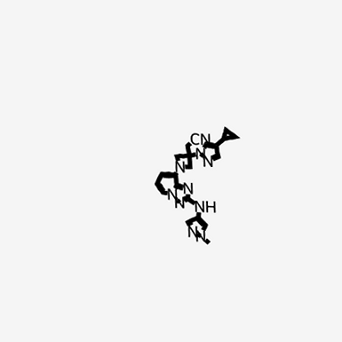 Cn1cc(Nc2nc3c(N4CC(CC#N)(n5cc(C6CC6)cn5)C4)cccn3n2)cn1